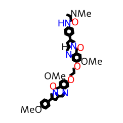 CN[C@@H](C)C(=O)Nc1ccc(C2=CN3C(=O)c4cc(OC)c(OCCCOc5cc6c(cc5OC)C(=O)N5C=C(c7ccc(OC)cc7)CC5C=N6)cc4N=C[C@@H]3C2)cc1